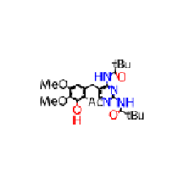 COc1cc(Cc2cnc(NC(=O)C(C)(C)C)nc2NC(=O)C(C)(C)C)c(C(C)=O)c(O)c1OC